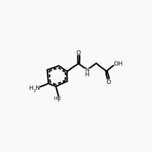 Nc1ccc(C(=O)NCC(=O)O)cc1[18F]